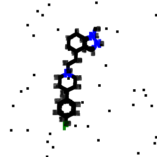 Cn1ncc2c1CCCC2CCN1CCC(c2ccc(F)cc2)CC1